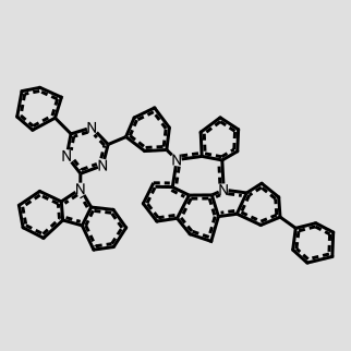 c1ccc(-c2ccc3c(c2)c2ccc4cccc5c4c2n3c2ccccc2n5-c2cccc(-c3nc(-c4ccccc4)nc(-n4c5ccccc5c5ccccc54)n3)c2)cc1